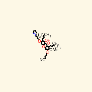 COc1c(OCCCCC#N)cc2oc3cc(OCCCCN4CCCC4)c(CC=C(C)C)c(O)c3c(=O)c2c1CC=C(C)C